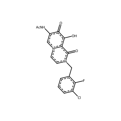 CC(=O)Nc1cn2ccn(Cc3cccc(Cl)c3F)c(=O)c2c(O)c1=O